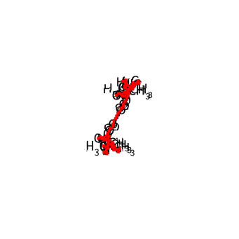 COc1cc2c3c(c4c(c2cc1N1CCCCC1)-c1ccc(-c2ccccc2C)cc1C4(C)C)C=CC(c1ccc(OCCOC(=O)CCC(=O)OCCCCCCCCCCOC(=O)CCC(=O)OCCOc2ccc(C4(c5ccc(N6CCOCC6)cc5)C=Cc5c6c(c7cc(N8CCCCC8)c(OC)cc7c5O4)-c4ccc(-c5ccccc5C)cc4C6(C)C)cc2)cc1)(c1ccc(N2CCOCC2)cc1)O3